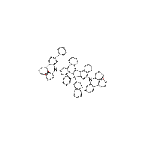 c1ccc(-c2ccc(-c3ccccc3)c(N(c3ccccc3)c3ccc4c5c(c6ccccc6c4c3)-c3c(cc(N(c4ccccc4)c4cc(-c6ccccc6)ccc4-c4ccccc4)c4ccccc34)C5(c3ccccc3)c3ccccc3)c2)cc1